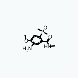 CNC(=O)c1cc(N)c(OC)cc1P(C)(C)=O